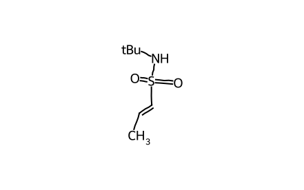 C/C=C/S(=O)(=O)NC(C)(C)C